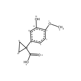 COc1ccc(C2(C(=O)O)CC2)cc1O